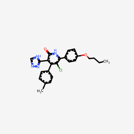 CCCCOc1ccc(-c2[nH]c(=O)c(-c3nnc[nH]3)c(-c3ccc(C)cc3)c2Cl)cc1